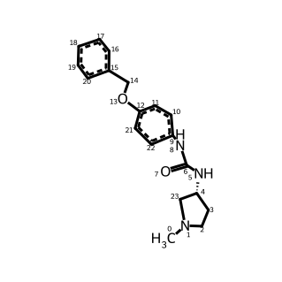 CN1CC[C@@H](NC(=O)Nc2ccc(OCc3ccccc3)cc2)C1